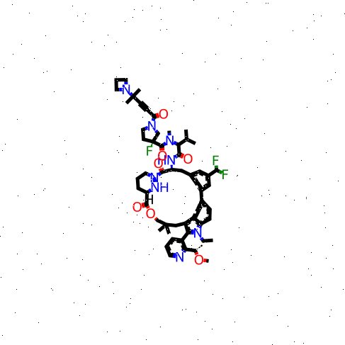 CCn1c(-c2cccnc2[C@H](C)OC)c2c3cc(ccc31)-c1cc(cc(C(F)F)c1)C[C@H](NC(=O)C(C(C)C)N(C)C(=O)[C@@]1(F)CCN(C(=O)C#CC(C)(C)N3CCC3)C1)C(=O)N1CCC[C@H](N1)C(=O)OCC(C)(C)C2